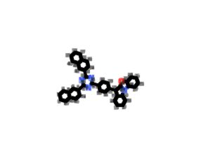 c1ccc2cc(-c3nc(-c4ccc(-c5c6ccccc6n6c5oc5ccccc56)cc4)nc(-c4ccc5ccccc5c4)n3)ccc2c1